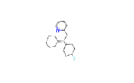 FC1CCC(C(Cc2ccccn2)=C2CCCCC2)CC1